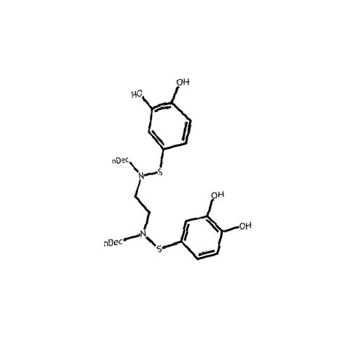 CCCCCCCCCCN(CCN(CCCCCCCCCC)Sc1ccc(O)c(O)c1)Sc1ccc(O)c(O)c1